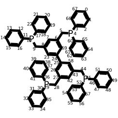 c1ccc(P(Cc2cc(CP(c3ccccc3)c3ccccc3)cc(-c3cc(CP(c4ccccc4)c4ccccc4)cc(CP(c4ccccc4)c4ccccc4)c3)c2)c2ccccc2)cc1